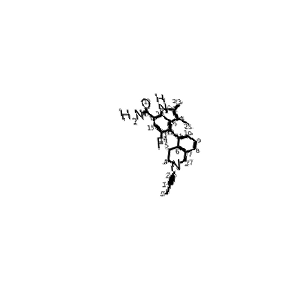 CC#CN1CCc2c(cccc2-c2c(F)cc(C(N)=O)c3[nH]c(C)c(C)c23)C1